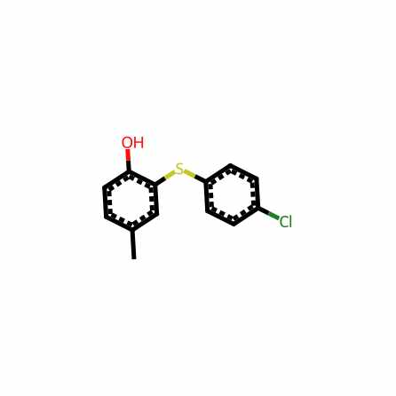 Cc1ccc(O)c(Sc2ccc(Cl)cc2)c1